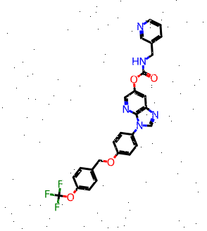 O=C(NCc1cccnc1)Oc1cnc2c(c1)ncn2-c1ccc(OCc2ccc(OC(F)(F)F)cc2)cc1